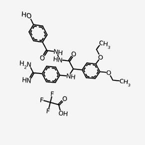 CCOc1ccc(C(Nc2ccc(C(=N)N)cc2)C(=O)NNC(=O)c2ccc(O)cc2)cc1OCC.O=C(O)C(F)(F)F